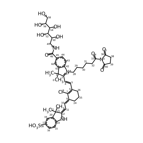 CC1(C)C(/C=C/C2=C(Cl)C(=C/C=C3/Nc4ccc(S(=O)(=O)O)cc4C3(C)C)/CCC2)=[N+](CCCCCC(=O)N2C(=O)CCC2=O)c2ccc(C(=O)NCC(O)C(O)C(O)C(O)CO)cc21